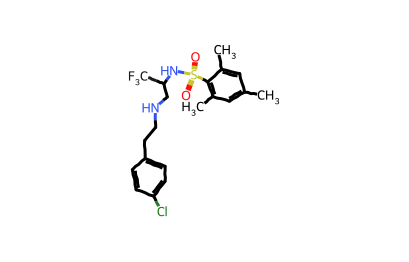 Cc1cc(C)c(S(=O)(=O)NC(CNCCc2ccc(Cl)cc2)C(F)(F)F)c(C)c1